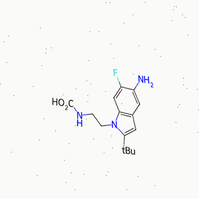 CC(C)(C)c1cc2cc(N)c(F)cc2n1CCNC(=O)O